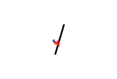 CCCCCCCCCCCCCCCCCCCCCCC(=O)OC(COC(=O)CCCCCCCCCCCC)COP(=O)(O)OCC[N+](C)(C)C